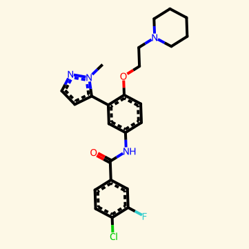 Cn1nccc1-c1cc(NC(=O)c2ccc(Cl)c(F)c2)ccc1OCCN1CCCCC1